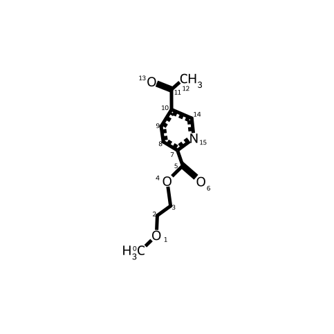 COCCOC(=O)c1ccc(C(C)=O)cn1